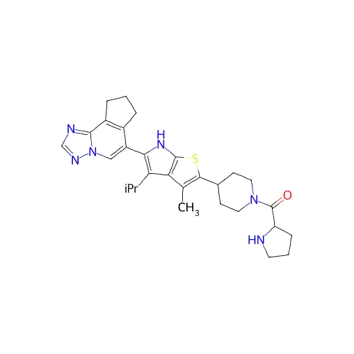 Cc1c(C2CCN(C(=O)C3CCCN3)CC2)sc2[nH]c(-c3cn4ncnc4c4c3CCC4)c(C(C)C)c12